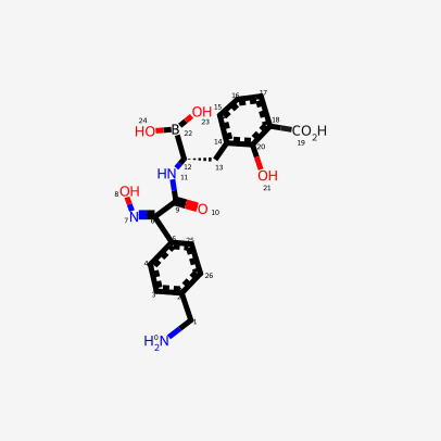 NCc1ccc(/C(=N/O)C(=O)N[C@@H](Cc2cccc(C(=O)O)c2O)B(O)O)cc1